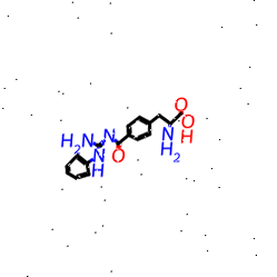 NC(=NC(=O)c1ccc(CC(N)C(=O)O)cc1)Nc1ccccc1